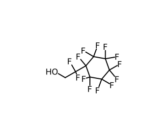 OCC(F)(F)C1(F)C(F)(F)C(F)(F)C(F)(F)C(F)(F)C1(F)F